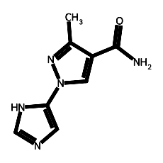 Cc1nn(-c2cnc[nH]2)cc1C(N)=O